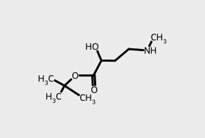 CNCCC(O)C(=O)OC(C)(C)C